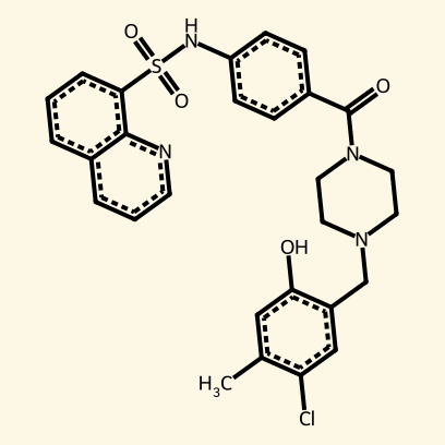 Cc1cc(O)c(CN2CCN(C(=O)c3ccc(NS(=O)(=O)c4cccc5cccnc45)cc3)CC2)cc1Cl